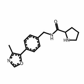 Cc1ncoc1-c1ccc(CNC(=O)C2CCCN2)cc1